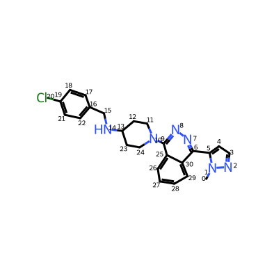 Cn1nccc1-c1nnc(N2CCC(NCc3ccc(Cl)cc3)CC2)c2ccccc12